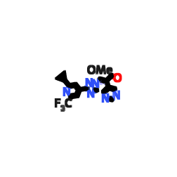 COC(=O)/C(=C/n1cnc(-c2cc(C3CC3)nc(C(F)(F)F)c2)n1)c1cncnc1